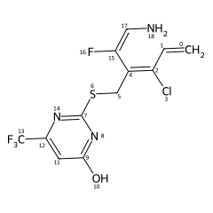 C=C/C(Cl)=C(CSc1nc(O)cc(C(F)(F)F)n1)\C(F)=C/N